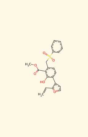 C=Cc1occc1-c1ccc(CS(=O)(=O)c2ccccc2)c(C(=O)OC)c1O